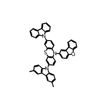 Cc1ccc2c(c1)c1cc(C)ccc1n2-c1ccc2c(c1)Sc1cc(-n3c4ccccc4c4ccccc43)ccc1N2c1ccc2oc3ccccc3c2c1